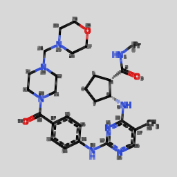 CC(C)NC(=O)[C@H]1CCC[C@H]1Nc1nc(Nc2ccc(C(=O)N3CCN(CN4CCOCC4)CC3)cc2)ncc1C(F)(F)F